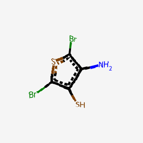 Nc1c(Br)sc(Br)c1S